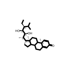 CC[C@@H](C(C)C)[C@H](O)[C@@H](O)[C@@H](C)[C@H]1CCC2C3CCC4=CC(=O)C=C[C@]4(C)C3CC[C@@]21C